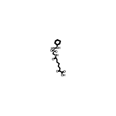 O=C(CCCCCC(=O)C(=O)O)NCS(=O)(=O)NNc1ccccc1